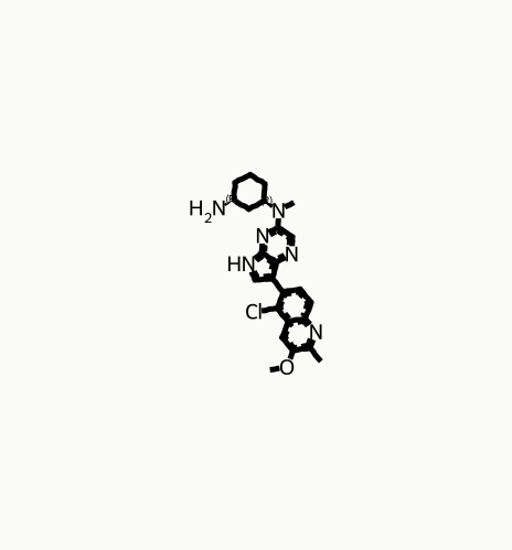 COc1cc2c(Cl)c(-c3c[nH]c4nc(N(C)[C@@H]5CCC[C@@H](N)C5)cnc34)ccc2nc1C